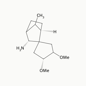 COC1CC2(C[C@H]1OC)[C@H](N)C1CC[C@@H]2C1C